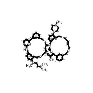 Cc1cnc2nc1-c1cccc(c1)COC/C=C/COCc1cc(ccc1N1CCN(C)CC1)N2C1/C=C/COCc2cc(ccc2N(C)CCN(C)C)Nc2nccc(n2)-c2cccc(c2)CO1